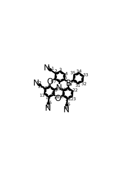 N#Cc1ccc2c3c1Oc1c(C#N)cc(C#N)c4c1N3c1c(ccc(C#N)c1O4)B2c1ccccc1